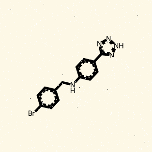 Brc1ccc(CNc2ccc(-c3nn[nH]n3)cc2)cc1